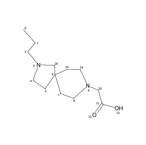 CCCN1CCC2(CCN(CC(=O)O)CC2)C1